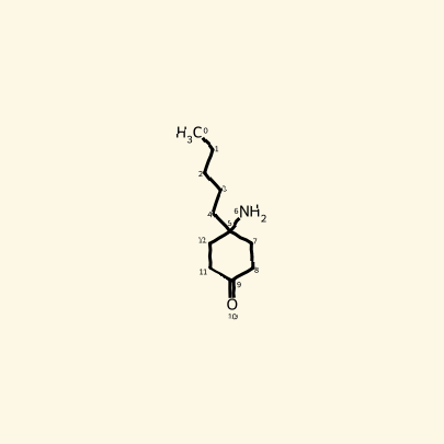 CCCCCC1(N)CCC(=O)CC1